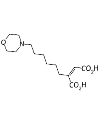 O=C(O)C=C(CCCCCCN1CCOCC1)C(=O)O